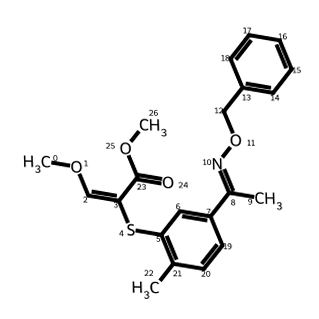 COC=C(Sc1cc(C(C)=NOCc2ccccc2)ccc1C)C(=O)OC